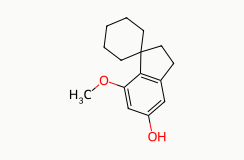 COc1cc(O)cc2c1C1(CCCCC1)CC2